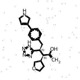 C=C(O)[C@@H](C1CCOC1)[C@H](Cc1ccc(C2=CCNC2)cc1)c1nnn[nH]1